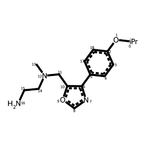 CC(C)Oc1ccc(-c2ncoc2CN(C)CCN)cc1